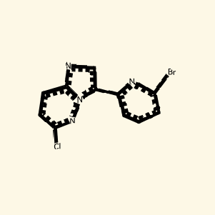 Clc1ccc2ncc(-c3cccc(Br)n3)n2n1